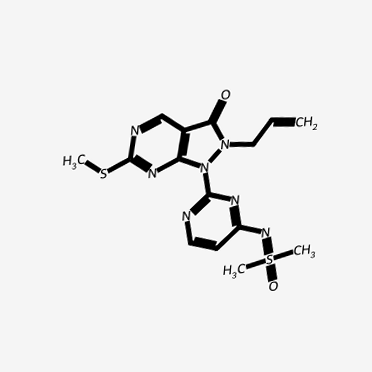 C=CCn1c(=O)c2cnc(SC)nc2n1-c1nccc(N=S(C)(C)=O)n1